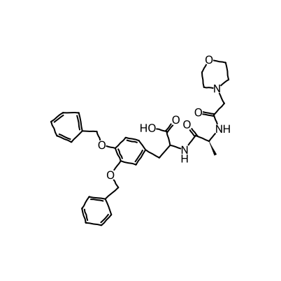 C[C@H](NC(=O)CN1CCOCC1)C(=O)NC(Cc1ccc(OCc2ccccc2)c(OCc2ccccc2)c1)C(=O)O